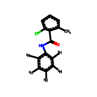 [2H]c1c([2H])c([2H])c(NC(=O)c2c(C)cccc2Cl)c([2H])c1[2H]